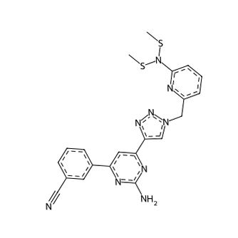 CSN(SC)c1cccc(Cn2cc(-c3cc(-c4cccc(C#N)c4)nc(N)n3)nn2)n1